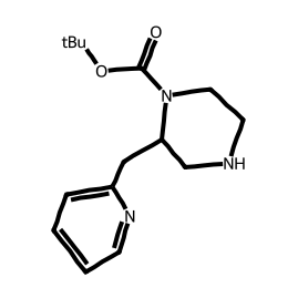 CC(C)(C)OC(=O)N1CCNCC1Cc1ccccn1